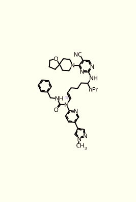 CCCC(CCC/C=C/N(C(=O)NCc1ccccc1)c1ccc(-c2cnn(C)c2)cn1)Nc1ncc(C#N)c(N2CCC3(CCCO3)CC2)n1